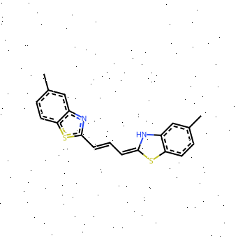 Cc1ccc2c(c1)NC(=CC=Cc1nc3cc(C)ccc3s1)S2